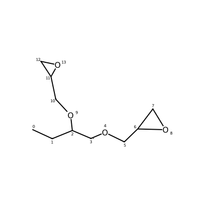 CCC([CH]OCC1CO1)OCC1CO1